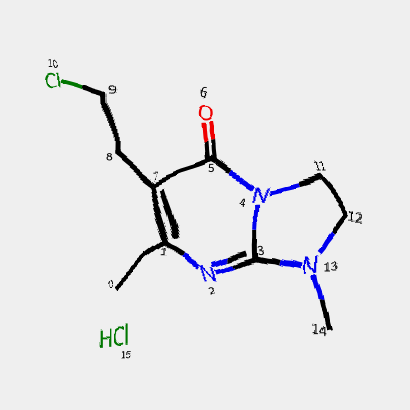 Cc1nc2n(c(=O)c1CCCl)CCN2C.Cl